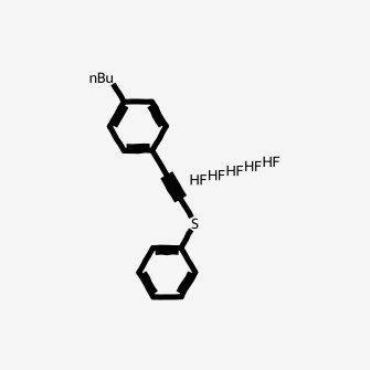 CCCCc1ccc(C#CSc2ccccc2)cc1.F.F.F.F.F